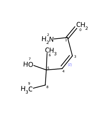 C=C(N)/C=C\C(C)(O)CC